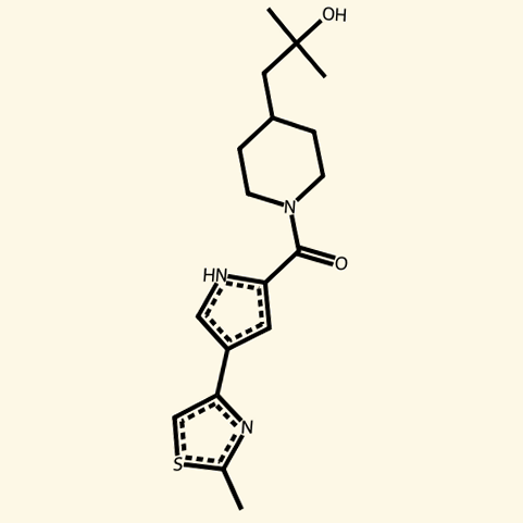 Cc1nc(-c2c[nH]c(C(=O)N3CCC(CC(C)(C)O)CC3)c2)cs1